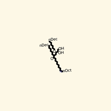 CCCCCCCC/C=C\CCCCCCCC(=O)C(CCCCCCCCCCCCCCCC)CC(OCCCCCCCCCCCCCCCC)C(O)CO